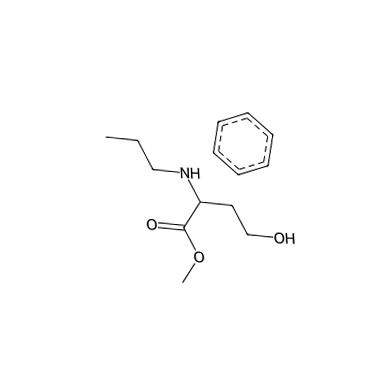 CCCNC(CCO)C(=O)OC.c1ccccc1